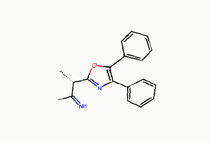 [CH2][C@@H](C(C)=N)c1nc(-c2ccccc2)c(-c2ccccc2)o1